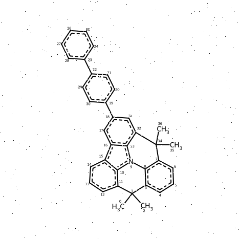 CC1(C)c2cccc3c2-n2c4c1cccc4c1cc(-c4ccc(-c5ccccc5)cc4)cc(c12)C3(C)C